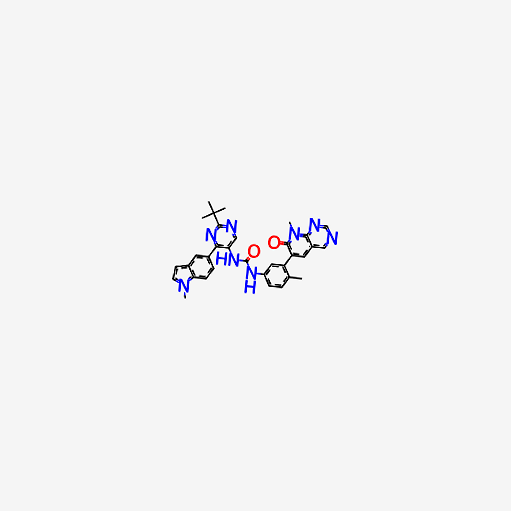 Cc1ccc(NC(=O)Nc2cnc(C(C)(C)C)nc2-c2ccc3c(ccn3C)c2)cc1-c1cc2cncnc2n(C)c1=O